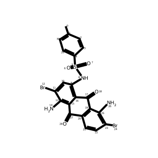 Cc1ccc(S(=O)(=O)Nc2cc(Br)c(N)c3c2C(=O)c2c(ccc(Br)c2N)C3=O)cc1